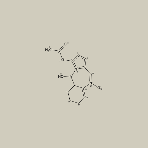 CC(=O)Oc1ccc2n1C(O)C1CCCC=C1[N+]([O-])=C2